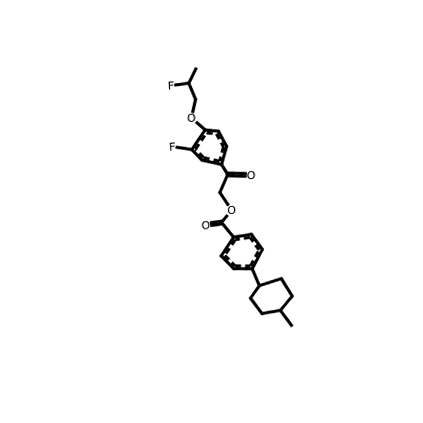 CC(F)COc1ccc(C(=O)COC(=O)c2ccc(C3CCC(C)CC3)cc2)cc1F